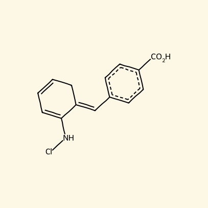 O=C(O)c1ccc(C=C2CC=CC=C2NCl)cc1